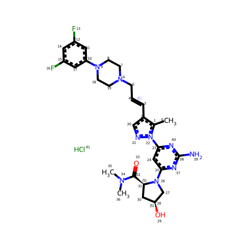 Cc1c(/C=C/CN2CCN(c3cc(F)cc(F)c3)CC2)cnn1-c1cc(N2C[C@@H](O)C[C@H]2C(=O)N(C)C)nc(N)n1.Cl